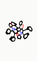 O=c1c(-c2ccccc2)c(-c2ccccc2)n(-c2ccccc2)c2c1c(-c1ccccc1)c(-c1ccccc1)c1c2c(=O)c(-c2ccccc2)c(-c2ccccc2)n1-c1ccccc1